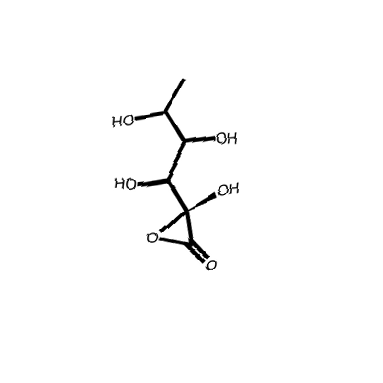 CC(O)C(O)C(O)[C@@]1(O)OC1=O